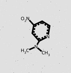 CN(C)c1cc([N+](=O)[O-])ccn1